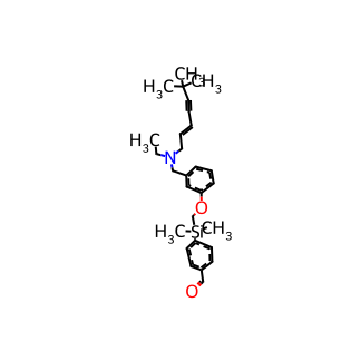 CCN(C/C=C/C#CC(C)(C)C)Cc1cccc(OC[Si](C)(C)c2ccc(C=O)cc2)c1